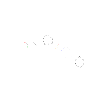 O=C(Cl)/C=C/c1cccc(S(=O)(=O)N2CCN(c3ccc(Cl)cc3)CC2)c1